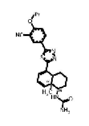 CC(C)Oc1ccc(-c2nnc(C3=CC=C[C@]4(C)C3CCC[C@H]4NC(N)=O)s2)cc1C#N